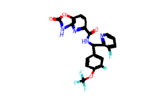 O=C(NC(c1ccc(OC(F)(F)F)c(F)c1)c1ncccc1F)c1ccc2oc(=O)[nH]c2n1